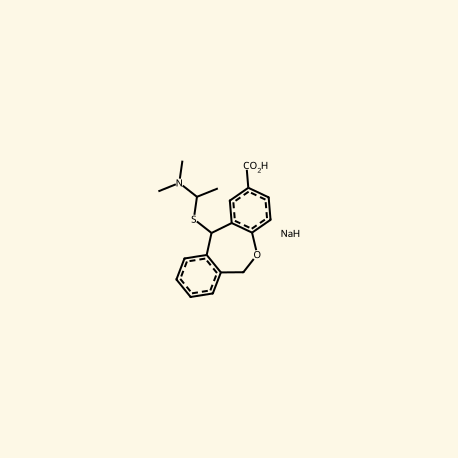 CC(SC1c2ccccc2COc2ccc(C(=O)O)cc21)N(C)C.[NaH]